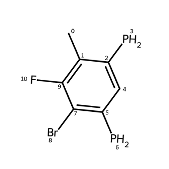 Cc1c(P)cc(P)c(Br)c1F